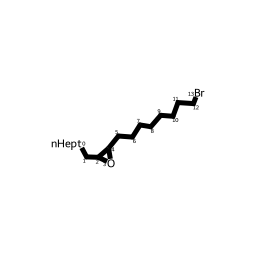 CCCCCCCCC1OC1CCCCCCCCBr